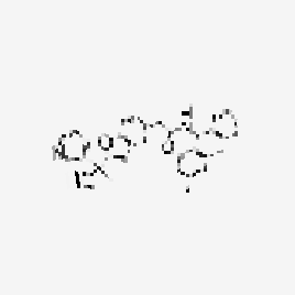 Cc1ccc(C(NC(=O)Cc2ccc3oc(C(C)(O)c4cccnc4)cc3c2)c2ccccc2)c(C)c1